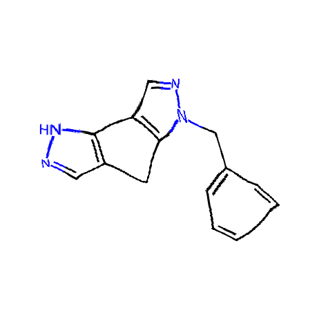 c1ccc(Cn2ncc3c2Cc2cn[nH]c2-3)cc1